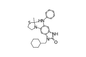 CC1(C)SCCN1c1cc2c(cc1Nc1ccccc1)[nH]c(=O)n2CC1CCCCC1